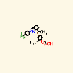 CCc1cc(SC(C)c2cccc3cn(-c4ccc(C(F)(F)F)cc4)nc23)ccc1OCC(=O)O